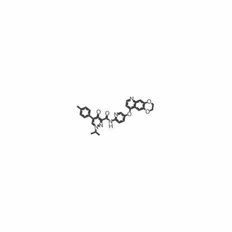 Cc1ccc(-c2cn(C(C)C)nc(C(=O)Nc3ccc(Oc4ccnc5cc6c(cc45)OCCO6)cn3)c2=O)cc1